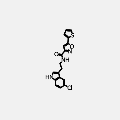 O=C(NCCc1c[nH]c2ccc(Cl)cc12)c1cc(-c2cccs2)on1